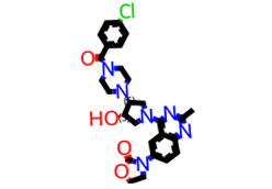 Cc1nc(N2C[C@H](O)[C@@H](N3CCN(C(=O)c4ccc(Cl)cc4)CC3)C2)c2cc(N3CCOC3=O)ccc2n1